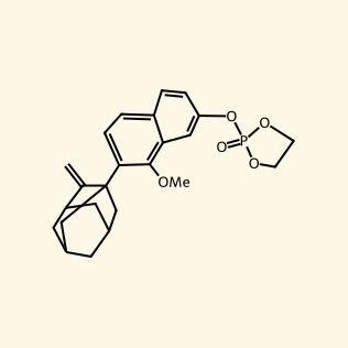 C=C1C2CC3CC(C2)CC1(c1ccc2ccc(OP4(=O)OCCO4)cc2c1OC)C3